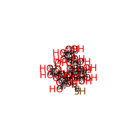 OCC1O[C@@H](OCC2O[C@H](OCCCS)C(O)[C@@H](O[C@@H]3OC(CO)[C@@H](O)[C@H](O)C3O)[C@@H]2O[C@@H]2OC(CO)[C@@H](O)[C@H](O)C2O[C@@H]2OC(CO)[C@@H](O)[C@H](O)C2O)[C@@H](OC2OC(CO)[C@@H](O)[C@H](O)C2O)C(O)[C@@H]1O